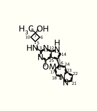 COc1nc(N[C@H]2C[C@@](C)(O)C2)nc2[nH]cc(-c3ccn4nccc4c3)c12